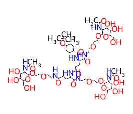 CC(=O)NC1C(OCCOCCNC(=O)CCC(NC(=O)CCC(NC(=O)[C@H]2CC[C@@H](OC(C)(C)C)CC2)C(=O)NCCOCCOC2OC(CO)C(O)C(O)C2NC(C)=O)C(=O)NCCOCCOC2OC(CO)C(O)C(O)C2NC(C)=O)OC(CO)C(O)C1O